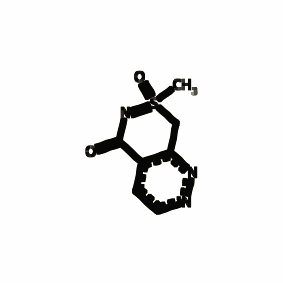 CS1(=O)=NC(=O)c2ccnnc2C1